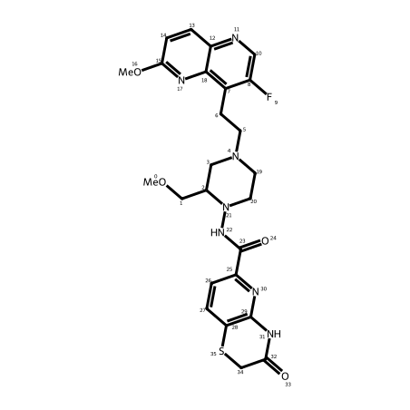 COCC1CN(CCc2c(F)cnc3ccc(OC)nc23)CCN1NC(=O)c1ccc2c(n1)NC(=O)CS2